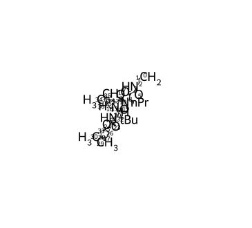 C=CCNC(=O)C(=O)[C@@H](CCC)NC(=O)[C@@H]1C2[C@H](CN1C(=O)[C@@H](NC(=O)OC1CCC(C)(C)C1)C(C)(C)C)C2(C)C